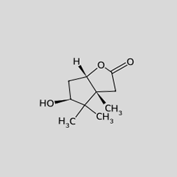 CC1(C)[C@@H](O)C[C@@H]2OC(=O)C[C@@]21C